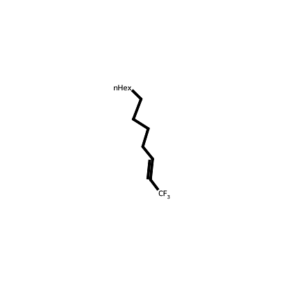 CCCCCCCCCCC=CC(F)(F)F